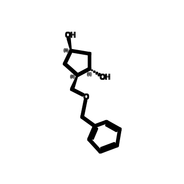 O[C@@H]1C[C@H](COCc2ccccc2)[C@@H](O)C1